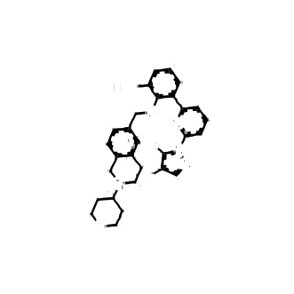 COc1c(C(=O)O)cnn1-c1cccc(-c2cccc(C)c2OCc2ccc3c(c2)CCN(C2CCOCC2)C3)n1